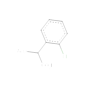 CC(=O)OC(C(=O)O)c1ccccc1Cl